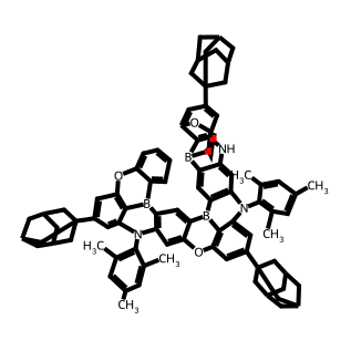 Cc1cc(C)c(N2c3cc4c(cc3B3c5cc6c(cc5Oc5cc(C78CC9CC(CC(C9)C7)C8)cc2c53)N(c2c(C)cc(C)cc2C)c2cc(C35CC7CC(CC(C7)C3)C5)cc3c2B6c2ccccc2O3)B2c3ccccc3Oc3cc(C56CC7CC(CC(C7)C5)C6)cc(c32)N4)c(C)c1